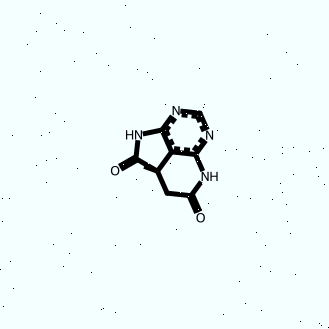 CC12CC(=O)Nc3ncnc(c31)NC2=O